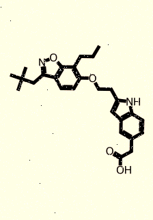 CCCc1c(OCCc2cc3cc(CC(=O)O)ccc3[nH]2)ccc2c(CC(C)(C)C)noc12